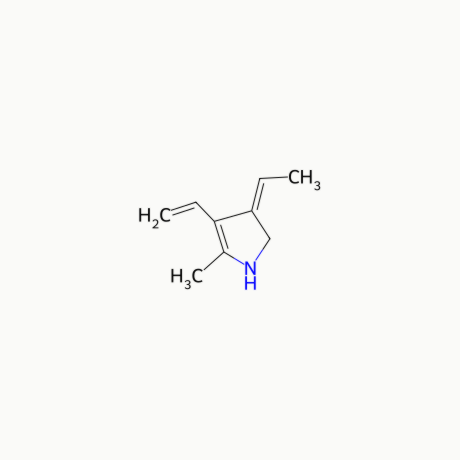 C=CC1=C(C)NC/C1=C\C